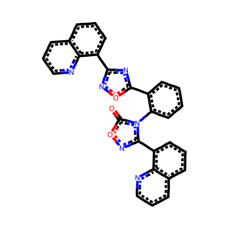 O=c1onc(-c2cccc3cccnc23)n1-c1ccccc1-c1nc(-c2cccc3cccnc23)no1